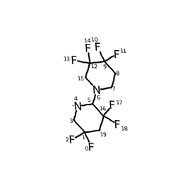 FC1(F)C[N]C(N2CCC(F)(F)C(F)(F)C2)C(F)(F)C1